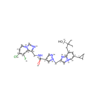 CC(C)(Cc1cc(C2CC2)cn2cc(Cn3cc(C(=O)NCc4ncn5ccc(Cl)c(F)c45)cn3)nc12)C(=O)O